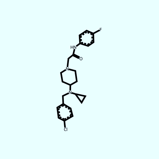 O=C(CN1CCC(N(Cc2ccc(Cl)cc2)C2CC2)CC1)Nc1ccc(F)cc1